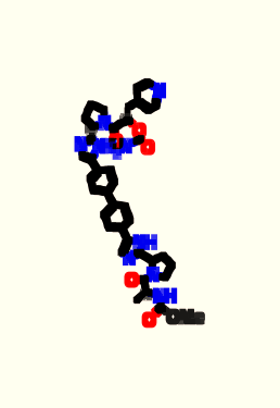 COC(=O)N[C@@H](C)C(=O)N1CCCC1c1ncc(-c2ccc(-c3ccc(-c4cnc([C@@H]5CCCN5C(=O)[C@H](Cc5ccncc5)OC(N)=O)[nH]4)cc3)cc2)[nH]1